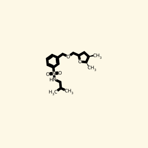 CC(C)CNS(=O)(=O)c1cccc(COCC2C[C@@H](C)[C@H](C)O2)c1